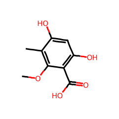 COc1c(C)c(O)cc(O)c1C(=O)O